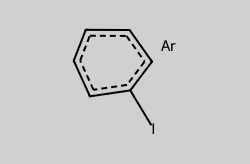 Ic1ccccc1.[Ar]